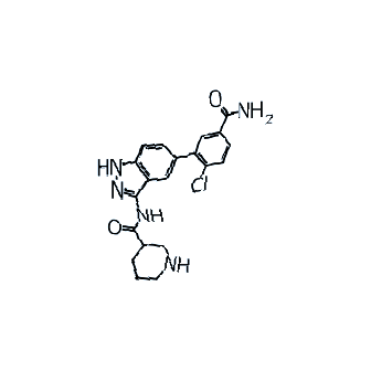 NC(=O)c1ccc(Cl)c(-c2ccc3[nH]nc(NC(=O)C4CCCNC4)c3c2)c1